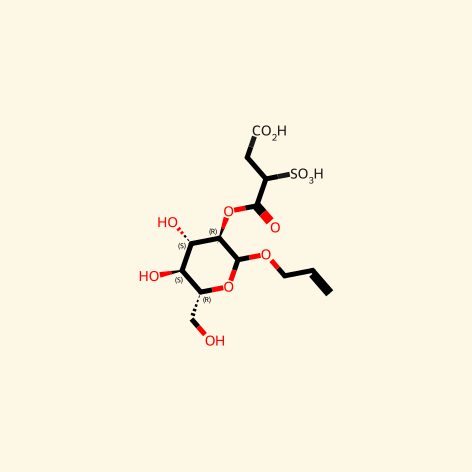 C=CCOC1O[C@H](CO)[C@@H](O)[C@H](O)[C@H]1OC(=O)C(CC(=O)O)S(=O)(=O)O